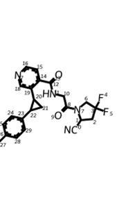 N#CC1CC(F)(F)CN1C(=O)CNC(=O)c1ccncc1C1CC1c1ccc(Cl)cc1